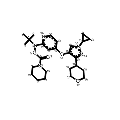 CC(C)(C)N(OC(=O)N1CCCCC1)c1cc(Oc2cn(C3CC3)nc2C2CCOCC2)ccn1